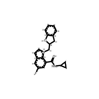 O=C(NC1CC1)c1cc(F)cc2ccn(CC3Cc4ccccc4O3)c12